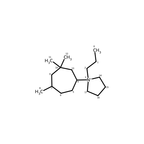 CCC[N+]1(C2CCC(C)CC(C)(C)C2)CCCC1